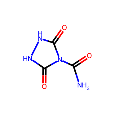 NC(=O)n1c(=O)[nH][nH]c1=O